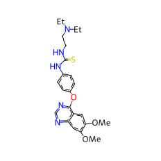 CCN(CC)CCNC(=S)Nc1ccc(Oc2ncnc3cc(OC)c(OC)cc23)cc1